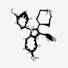 N#Cc1c(C2CCNCC2)n(-c2ccc(F)cc2)c2ccc(O)cc12